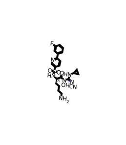 N#C/N=C(/NC1CC1)N(O)C(=O)[C@@H](CCCCN)NS(=O)(=O)c1ccc(-c2cccc(F)c2)nc1